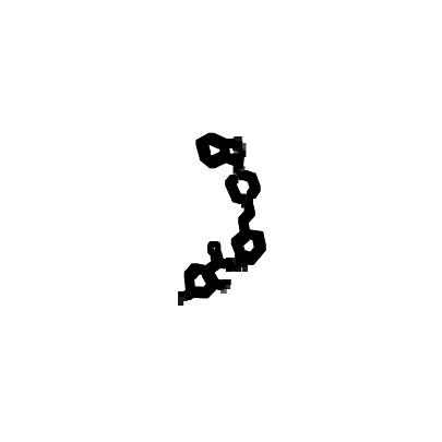 O=C(Nc1cccc(CCN2CCN(c3nsc4ccccc34)CC2)c1)c1ccc(F)cc1F